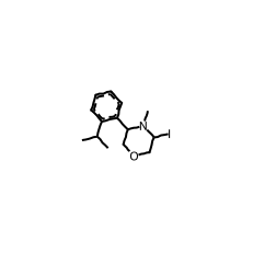 CC(C)c1ccccc1C1COCC(I)N1C